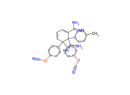 Cc1ccc(C2(C(=N)N)C(C(=N)N)=CC=CC2(c2ccc(OC#N)cc2)c2ccc(OC#N)cc2)cc1